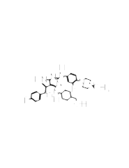 CN1CCN(c2ccc(Nc3nc(NC4CCC(CO)CC4)c4c(C(=O)c5ccc(F)cc5)c[nH]c4n3)cc2F)CC1